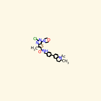 CC(=O)N1c2ccc(-c3ccc(CNC(=O)c4sc5c(N6CCOCC6)nc(Cl)nc5c4C)cc3)cc2CC[C@@H]1C